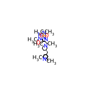 CC(=O)Nc1c(C)c(C(C)N2CCC[C@H](Cc3cc(C)nc(C)c3)C2)nn1S(=O)(=O)N(C)C